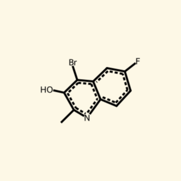 Cc1nc2ccc(F)cc2c(Br)c1O